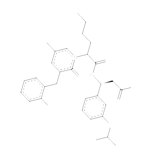 CCCCC(C(=O)N[C@@H](CC(=O)O)c1cccc(OC(C)C)c1)n1cc(C)cc(Cc2ccccc2Cl)c1=O